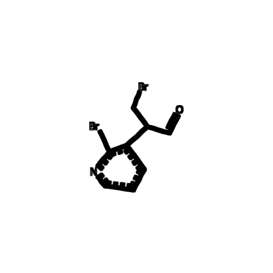 O=CC(CBr)c1cccnc1Br